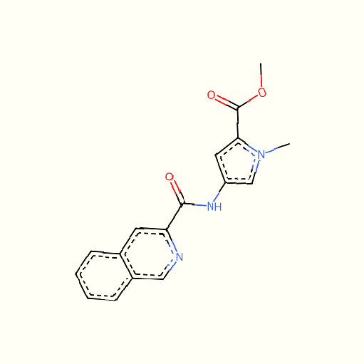 COC(=O)c1cc(NC(=O)c2cc3ccccc3cn2)cn1C